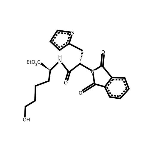 CCOC(=O)[C@H](CCCCO)NC(=O)[C@H](Cc1cccs1)N1C(=O)c2ccccc2C1=O